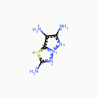 Nc1nn2nc(N)c(N)c2s1